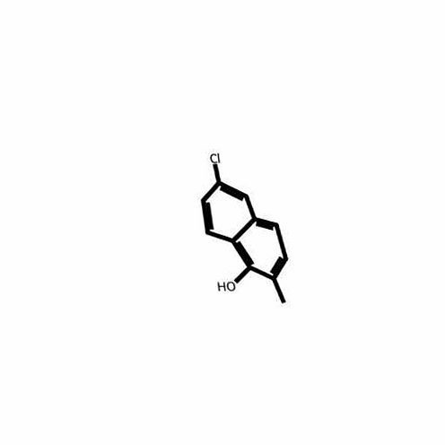 Cc1ccc2cc(Cl)ccc2c1O